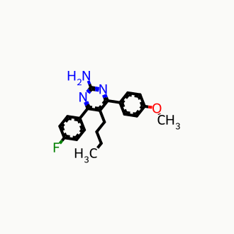 CCCCc1c(-c2ccc(F)cc2)nc(N)nc1-c1ccc(OC)cc1